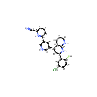 N#Cc1cccc(-c2cncc(-c3cc(-c4cc(Cl)ccc4F)nc4ncccc34)c2)n1